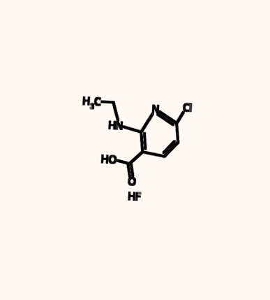 CCNc1nc(Cl)ccc1C(=O)O.F